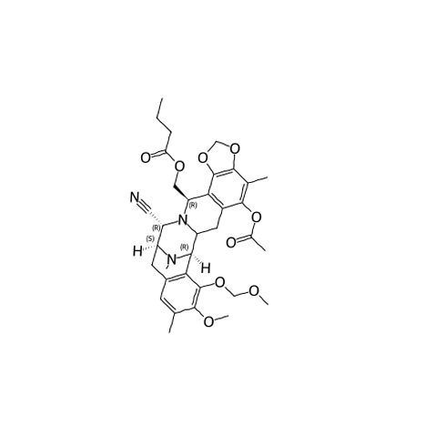 CCCC(=O)OC[C@H]1c2c(c(OC(C)=O)c(C)c3c2OCO3)CC2[C@H]3c4c(cc(C)c(OC)c4OCOC)C[C@@H]([C@H](C#N)N21)N3C